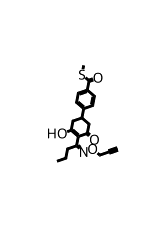 C#CCO/N=C(/CCC)C1=C(O)CC(c2ccc(C(=O)SC)cc2)CC1=O